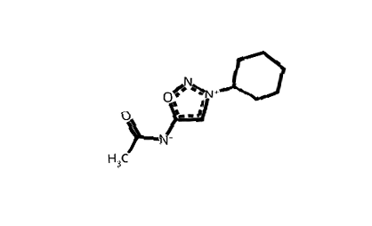 CC(=O)[N-]c1c[n+](C2CCCCC2)no1